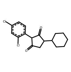 O=C1CC(C2CCCCC2)C(=O)C1c1ccc(Cl)cc1Cl